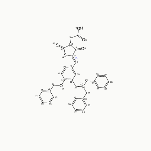 O=C(O)CN1C(=O)/C(=C/c2ccc(OCc3ccccc3)c(CN(Cc3ccccc3)Cc3ccccc3)c2)SC1=S